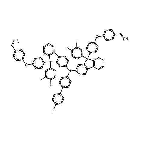 C=Cc1ccc(Oc2ccc(C3(c4ccc(F)c(F)c4)C4=C(C=CCC4)c4ccc(N(c5ccc(-c6ccc(F)cc6)cc5)c5ccc6c(c5)C(c5ccc(Oc7ccc(C=C)cc7)cc5)(c5ccc(F)c(F)c5)c5ccccc5-6)cc43)cc2)cc1